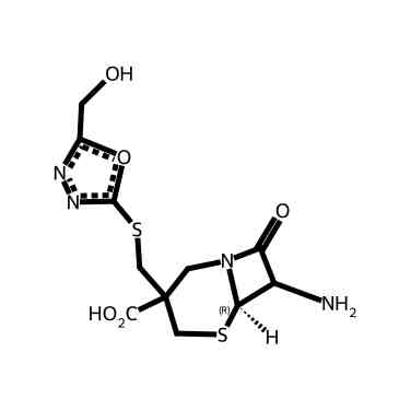 NC1C(=O)N2CC(CSc3nnc(CO)o3)(C(=O)O)CS[C@H]12